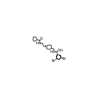 O=C(NCCN1CCC(CNC(O)c2cc(Br)cc(Br)c2)CC1)C1CCCC1